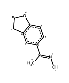 C/C(=N\O)c1ccc2c(c1)CCO2